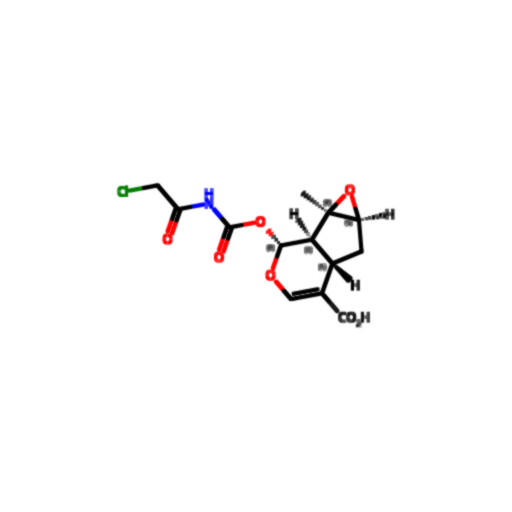 C[C@]12O[C@H]1C[C@@H]1C(C(=O)O)=CO[C@H](OC(=O)NC(=O)CCl)[C@H]12